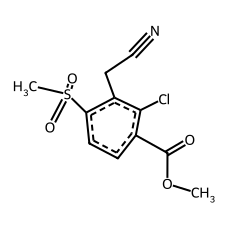 COC(=O)c1ccc(S(C)(=O)=O)c(CC#N)c1Cl